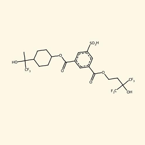 CC(O)(C1CCC(OC(=O)c2cc(C(=O)OCCC(O)(C(F)(F)F)C(F)(F)F)cc(S(=O)(=O)O)c2)CC1)C(F)(F)F